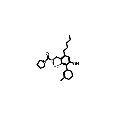 CCCCCc1cc(O)c(C2C=C(C)CCC2)c(O)c1CN(C)C(=O)N1CCCC1